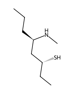 CCC[C@H](C[C@H](S)CC)NC